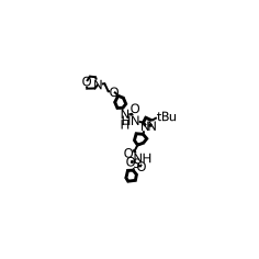 CC(C)(C)c1cc(NC(=O)Nc2ccc(OCCN3CCOCC3)cc2)n(-c2ccc(C(=O)NS(=O)(=O)c3ccccc3)cc2)n1